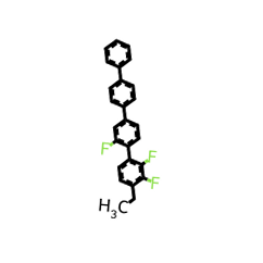 CCc1ccc(-c2ccc(-c3ccc(-c4ccccc4)cc3)cc2F)c(F)c1F